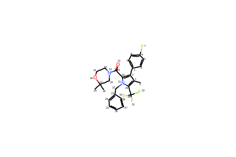 Cc1c(-c2ccc(F)cc2)c(C(=O)N2CCOC(C)(C)C2)n(Cc2ccccc2)c1C(F)(F)F